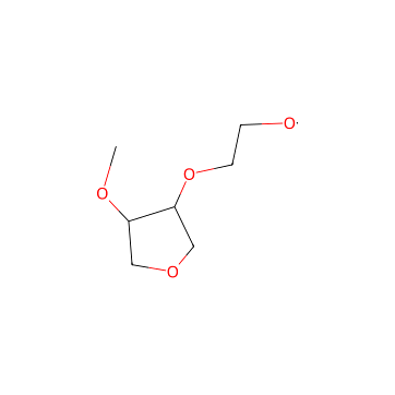 COC1COCC1OCC[O]